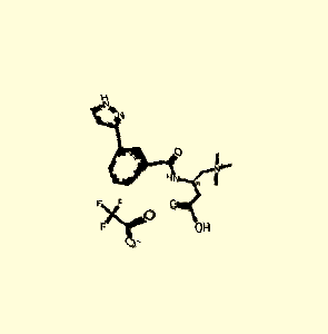 C[N+](C)(C)C[C@@H](CC(=O)O)NC(=O)c1cccc(-c2cc[nH]n2)c1.O=C([O-])C(F)(F)F